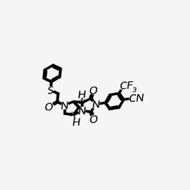 N#Cc1ccc(N2C(=O)[C@@H]3C4C[C@H](CN4C(=O)CSc4ccccc4)N3C2=O)cc1C(F)(F)F